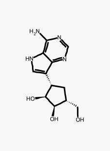 Nc1ncnc2c([C@@H]3C[C@H](CO)[C@@H](O)[C@H]3O)c[nH]c12